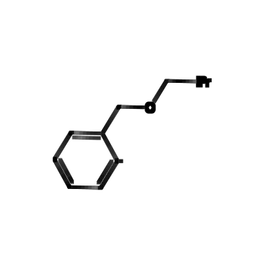 CC(C)COCc1[c]cccc1